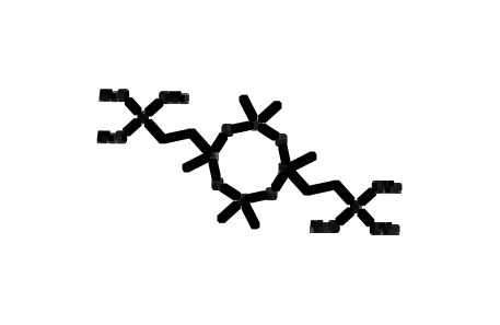 CO[Si](CC[Si]1(C)O[Si](C)(C)O[Si](C)(CC[Si](OC)(OC)OC)O[Si](C)(C)O1)(OC)OC